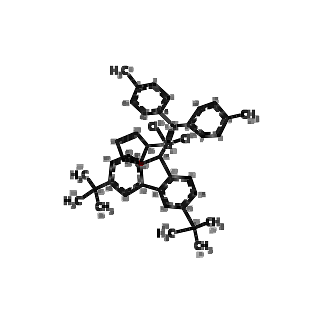 Cc1ccc([Si](c2ccc(C)cc2)=[Zr]([Cl])([Cl])([CH]2C=CC=C2)[CH]2c3ccc(C(C)(C)C)cc3-c3cc(C(C)(C)C)ccc32)cc1